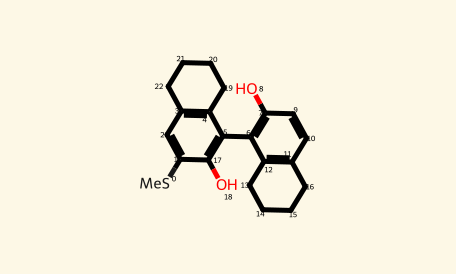 CSc1cc2c(c(-c3c(O)ccc4c3CCCC4)c1O)CCCC2